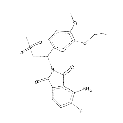 CCOc1cc(C(CS(C)(=O)=O)N2C(=O)c3ccc(F)c(N)c3C2=O)ccc1OC